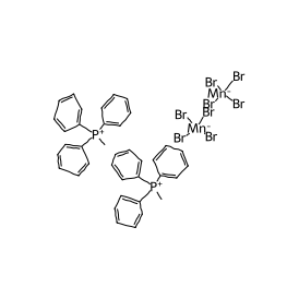 C[P+](c1ccccc1)(c1ccccc1)c1ccccc1.C[P+](c1ccccc1)(c1ccccc1)c1ccccc1.[Br][Mn-]([Br])([Br])[Br].[Br][Mn-]([Br])([Br])[Br]